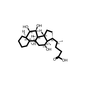 C[C@H](CCC(=O)O)[C@H]1CC[C@H]2[C@@H]3[C@H](O)[C@H](O)[C@@H]4CCCC[C@]4(C)[C@H]3C[C@H](O)[C@]12C